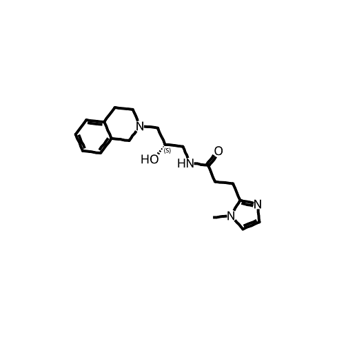 Cn1ccnc1CCC(=O)NC[C@H](O)CN1CCc2ccccc2C1